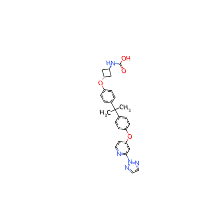 CC(C)(c1ccc(Oc2ccnc(-n3nccn3)c2)cc1)c1ccc(O[C@H]2C[C@H](NC(=O)O)C2)cc1